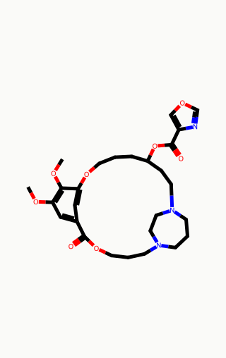 COc1cc2cc(c1OC)OCCCC(OC(=O)c1cocn1)CCN1CCCN(CCCOC2=O)CC1